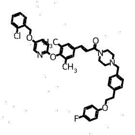 Cc1cc(C=CC(=O)N2CCN(Cc3ccc(CCOc4ccc(F)cc4)cc3)CC2)cc(C)c1Oc1ccc(OCc2ccccc2Cl)cn1